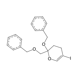 IC1=COC(COCc2ccccc2)(OCc2ccccc2)CC1